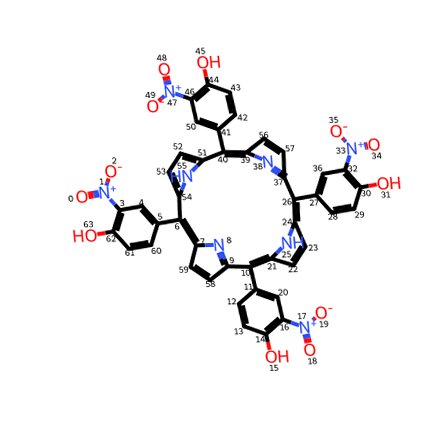 O=[N+]([O-])c1cc(-c2c3nc(c(-c4ccc(O)c([N+](=O)[O-])c4)c4ccc([nH]4)c(-c4ccc(O)c([N+](=O)[O-])c4)c4nc(c(-c5ccc(O)c([N+](=O)[O-])c5)c5ccc2[nH]5)C=C4)C=C3)ccc1O